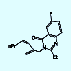 C=C(/C=C\CCC)Cn1c(CC)nc2ccc(F)cc2c1=O